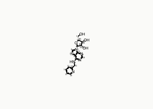 OC[C@H]1O[C@@H](n2cnc3c(NCc4ccccn4)ncnc32)[C@H](O)[C@@H]1O